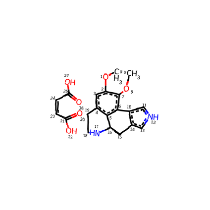 COc1cc2c3c(c1OC)-c1c[nH]cc1CC3NCC2.O=C(O)/C=C\C(=O)O